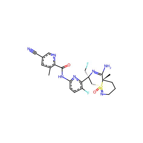 Cc1cc(C#N)cnc1C(=O)Nc1ccc(F)c([C@]2(CF)C[S@@]3(=O)=NCCC[C@@]3(C)C(N)=N2)n1